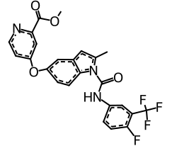 COC(=O)c1cc(Oc2ccc3c(c2)cc(C)n3C(=O)Nc2ccc(F)c(C(F)(F)F)c2)ccn1